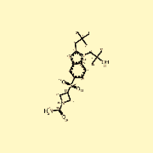 CC(C)(C)Cc1nc2cc(S(=O)(=O)C3CN(C(N)=O)C3)ccc2n1CC(C)(C)O